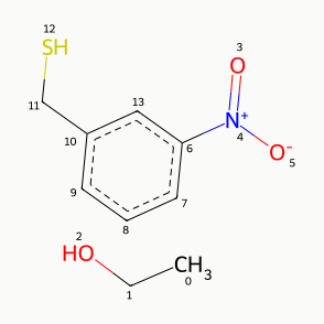 CCO.O=[N+]([O-])c1cccc(CS)c1